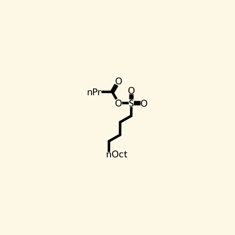 CCCCCCCCCCCCS(=O)(=O)OC(=O)CCC